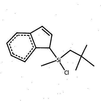 CC(C)(C)C[Si](C)(Cl)C1C=Cc2ccccc21